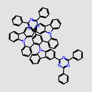 c1ccc(-c2nc(-c3ccccc3)nc(-c3cc(-c4ccccc4-n4c5ccccc5c5ccccc54)c(-n4c5ccccc5c5cc(-c6nc(-c7ccccc7)nc(-c7ccccc7)n6)ccc54)c(-c4ccccc4-n4c5ccccc5c5ccccc54)c3)n2)cc1